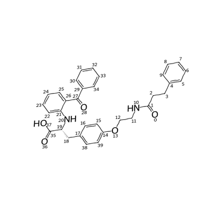 O=C(CCc1ccccc1)NCCOc1ccc(C[C@@H](Nc2ccccc2C(=O)c2ccccc2)C(=O)O)cc1